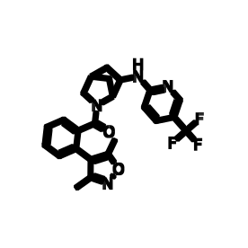 Cc1noc(C)c1-c1ccccc1C(=O)N1CC2CC(Nc3ccc(C(F)(F)F)cn3)C1C2